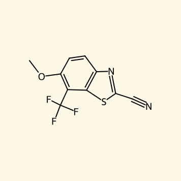 COc1ccc2nc(C#N)sc2c1C(F)(F)F